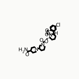 NC(=O)C1CCN(C2CCCN(C(=O)OC[C@H]3CCC[C@H]4c5cc(Cl)ccc5S(=O)(=O)N34)C2)CC1